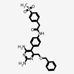 CS(=O)(=O)c1ccc(CC(=O)Nc2ccc(-c3c(N)nc(N)nc3COCc3ccccc3)cc2)cc1